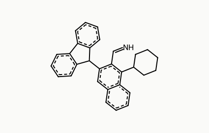 N=Cc1c(C2c3ccccc3-c3ccccc32)cc2ccccc2c1C1CCCCC1